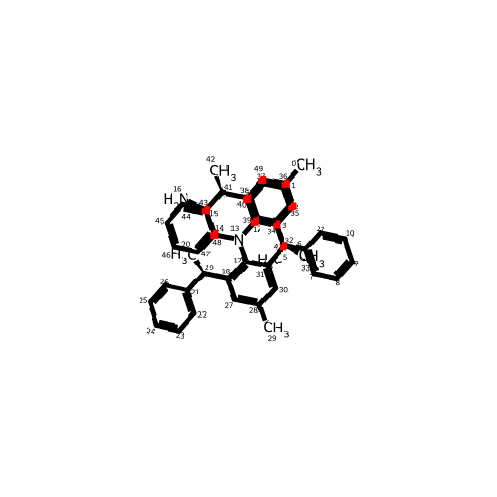 Cc1cc([C@H](C)c2ccccc2)c(N(CCN)c2c([C@H](C)c3ccccc3)cc(C)cc2[C@H](C)c2ccccc2)c([C@H](C)c2ccccc2)c1